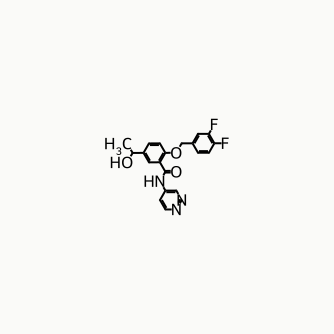 CC(O)c1ccc(OCc2ccc(F)c(F)c2)c(C(=O)Nc2ccnnc2)c1